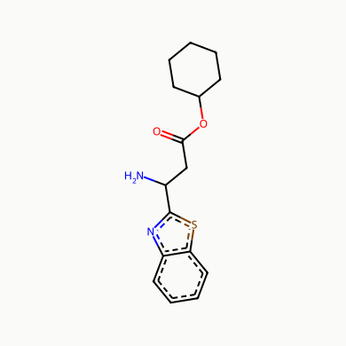 NC(CC(=O)OC1CCCCC1)c1nc2ccccc2s1